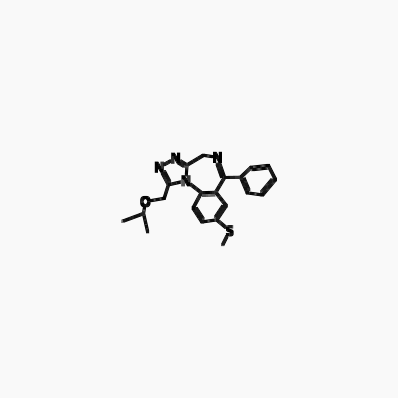 CSc1ccc2c(c1)C(c1ccccc1)=NCc1nnc(COC(C)C)n1-2